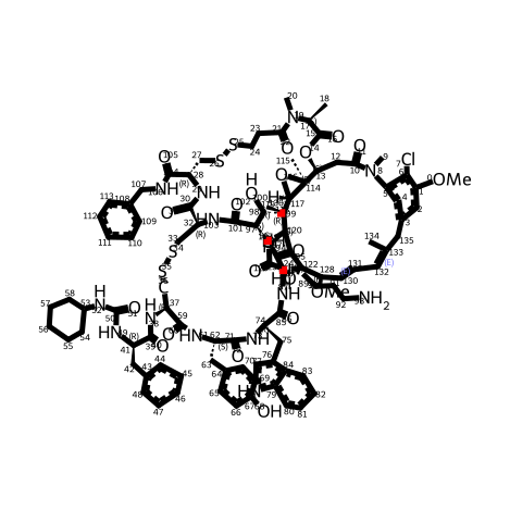 COc1cc2cc(c1Cl)N(C)C(=O)C[C@H](OC(=O)[C@H](C)N(C)C(=O)CCSSC[C@H](NC(=O)[C@@H]1CSSC[C@H](NC(=O)[C@@H](Cc3ccccc3)NC(=O)NC3CCCCC3)C(=O)N[C@@H](Cc3ccc(O)cc3)C(=O)N[C@H](Cc3c[nH]c4ccccc34)C(=O)N[C@@H](CCCCN)C(=O)N[C@@H]([C@@H](C)O)C(=O)N1)C(=O)NCc1ccccc1)[C@]1(C)O[C@H]1[C@H](C)[C@@H]1C[C@@](O)(NC(=O)O1)[C@H](OC)/C=C/C=C(\C)C2